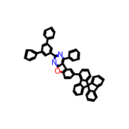 c1ccc(-c2cc(-c3ccccc3)cc(-c3nc(-c4ccccc4)c4c(n3)oc3ccc(-c5cccc6c5-c5ccccc5C65c6ccccc6-c6ccccc65)cc34)c2)cc1